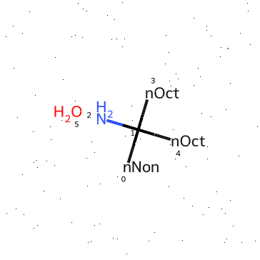 CCCCCCCCCC(N)(CCCCCCCC)CCCCCCCC.O